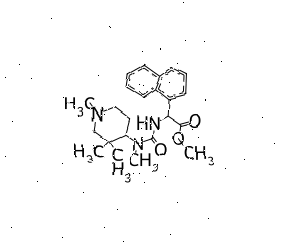 COC(=O)C(NC(=O)N(C)C1CCN(C)CC1(C)C)c1cccc2ccccc12